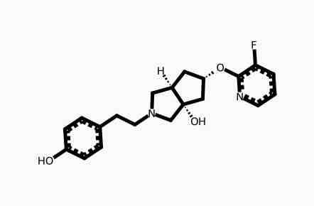 Oc1ccc(CCN2C[C@H]3C[C@H](Oc4ncccc4F)C[C@@]3(O)C2)cc1